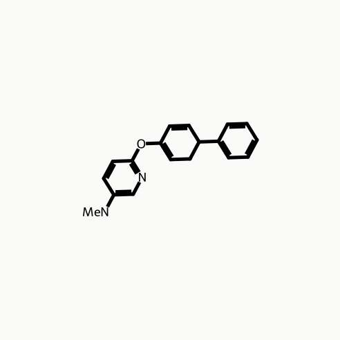 CNc1ccc(OC2=CCC(c3ccccc3)C=C2)nc1